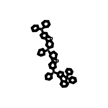 c1ccc(N(c2ccccc2)c2ccc3c(c2)oc2ccc(N(c4ccccc4)c4ccc5oc6cc(N(c7ccccc7)c7ccc8c(c7)-c7ccccc7C8(c7ccccc7)c7ccccc7)ccc6c5c4)cc23)cc1